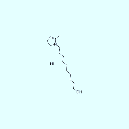 CC1=CCCN1CCCCCCCCCCO.I